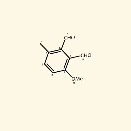 COc1ccc(C)c(C=O)c1C=O